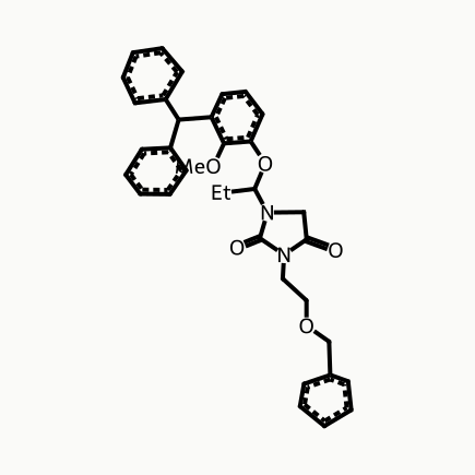 CCC(Oc1cccc(C(c2ccccc2)c2ccccc2)c1OC)N1CC(=O)N(CCOCc2ccccc2)C1=O